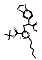 CCCCCc1nc(CC(C(=O)O)c2ccc3c(c2)OCO3)c(C(=O)OC(C)(C)C)[nH]1